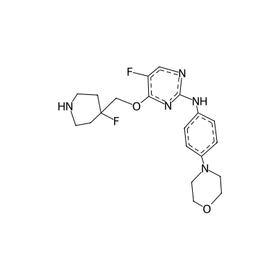 Fc1cnc(Nc2ccc(N3CCOCC3)cc2)nc1OCC1(F)CCNCC1